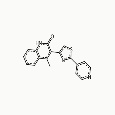 Cc1c(-c2csc(-c3ccncc3)n2)c(=O)[nH]c2ccccc12